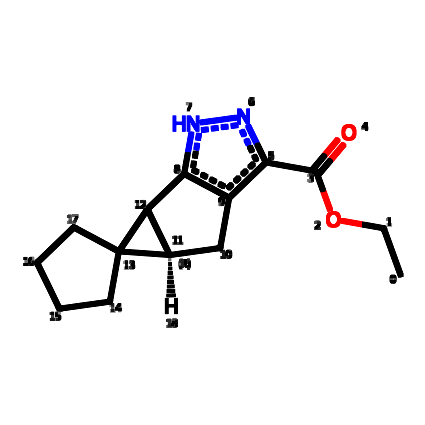 CCOC(=O)c1n[nH]c2c1C[C@@H]1C2C12CCCC2